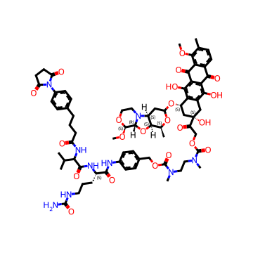 COc1c(C)ccc2c1C(=O)c1c(O)c3c(c(O)c1C2=O)C[C@@](O)(C(=O)COC(=O)N(C)CCN(C)C(=O)OCc1ccc(NC(=O)[C@H](CCCNC(N)=O)NC(=O)C(NC(=O)CCCc2ccc(N4C(=O)CCC4=O)cc2)C(C)C)cc1)C[C@@H]3OC1C[C@H]2[C@H](O[C@@H]3[C@@H](OC)OCCN32)[C@H](C)O1